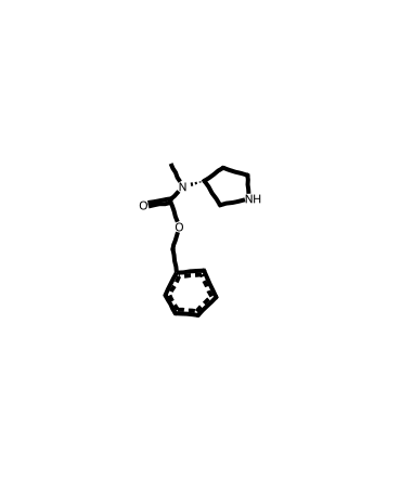 CN(C(=O)OCc1ccccc1)[C@@H]1CCNC1